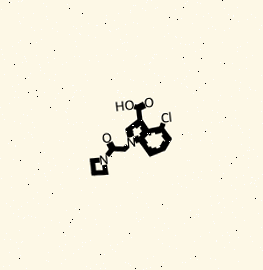 O=C(O)c1cn(CC(=O)N2CCC2)c2cccc(Cl)c12